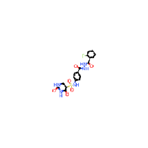 O=C(NNC(=O)c1ccccc1F)c1ccc(NS(=O)(=O)c2c[nH]c(=O)[nH]c2=O)cc1